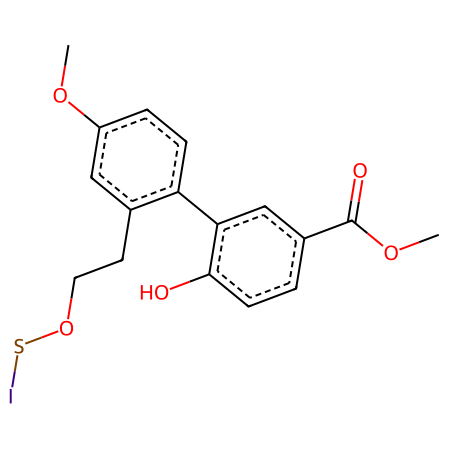 COC(=O)c1ccc(O)c(-c2ccc(OC)cc2CCOSI)c1